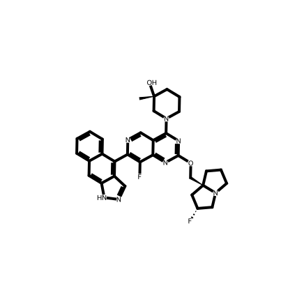 C[C@@]1(O)CCCN(c2nc(OC[C@@]34CCCN3C[C@H](F)C4)nc3c(F)c(-c4c5ccccc5cc5[nH]ncc45)ncc23)C1